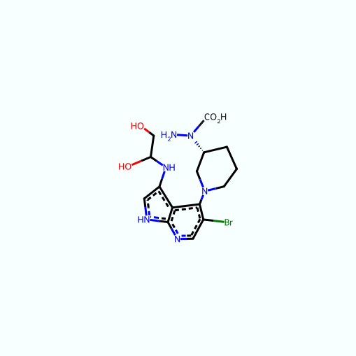 NN(C(=O)O)[C@@H]1CCCN(c2c(Br)cnc3[nH]cc(NC(O)CO)c23)C1